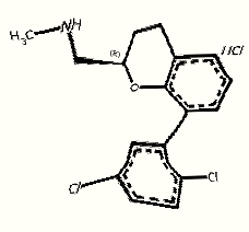 CNC[C@H]1CCc2cccc(-c3cc(Cl)ccc3Cl)c2O1.Cl